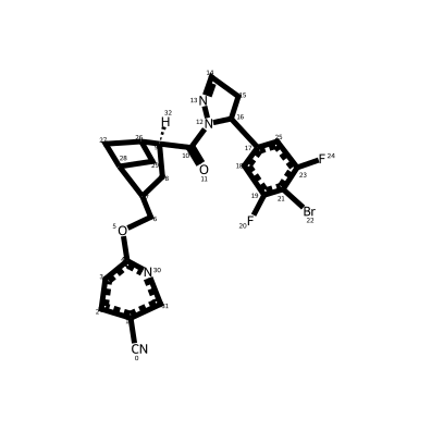 N#Cc1ccc(OCC2C[C@H](C(=O)N3N=CCC3c3cc(F)c(Br)c(F)c3)C3CC2C3)nc1